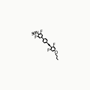 CCCCOc1cc(F)c(C#Cc2ccc(-c3cc(F)c(N=C=S)c(F)c3)cc2)c(F)c1